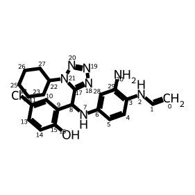 C=CNc1ccc(NC(c2cc(Cl)ccc2O)c2nnnn2C2CCCCC2)cc1N